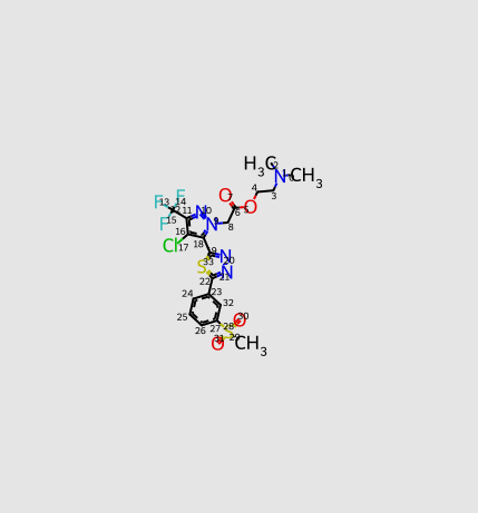 CN(C)CCOC(=O)Cn1nc(C(F)(F)F)c(Cl)c1-c1nnc(-c2cccc(S(C)(=O)=O)c2)s1